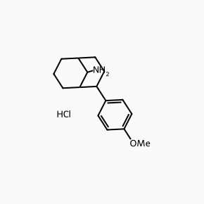 COc1ccc(C2CCC3CCCC2C3N)cc1.Cl